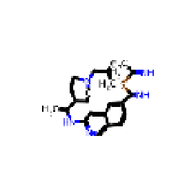 CC(=N)SC(=N)c1ccc2cnc(NC(C)C3CCN(CC(C)C)CC3)cc2c1